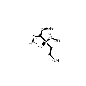 CCCOC(OCCC)P(=O)(CCC#N)OCC